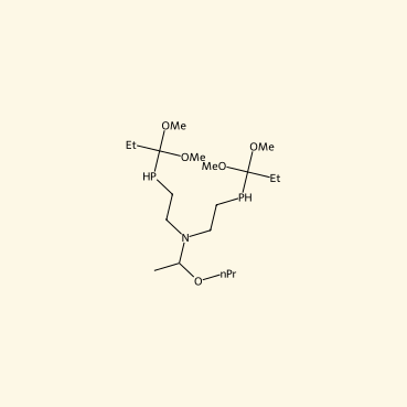 CCCOC(C)N(CCPC(CC)(OC)OC)CCPC(CC)(OC)OC